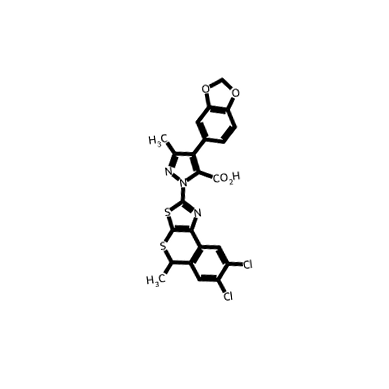 Cc1nn(-c2nc3c(s2)SC(C)c2cc(Cl)c(Cl)cc2-3)c(C(=O)O)c1-c1ccc2c(c1)OCO2